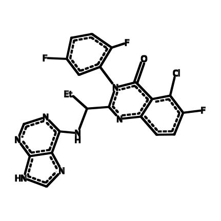 CCC(Nc1ncnc2[nH]cnc12)c1nc2ccc(F)c(Cl)c2c(=O)n1-c1cc(F)ccc1F